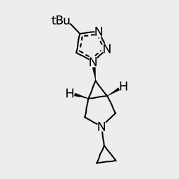 CC(C)(C)c1cn([C@H]2[C@@H]3CN(C4CC4)C[C@@H]32)nn1